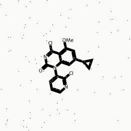 COc1cc(C2CC2)cc2c1c(Cl)nc(=O)n2-c1cccnc1Cl